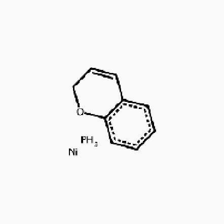 C1=Cc2ccccc2OC1.P.[Ni]